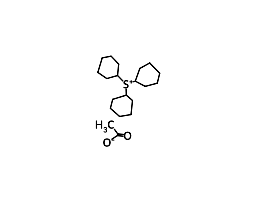 C1CCC([S+](C2CCCCC2)C2CCCCC2)CC1.CC(=O)[O-]